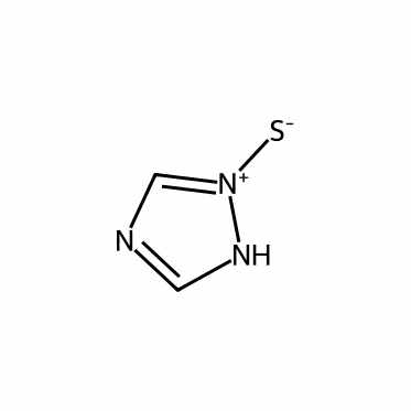 [S-][n+]1cnc[nH]1